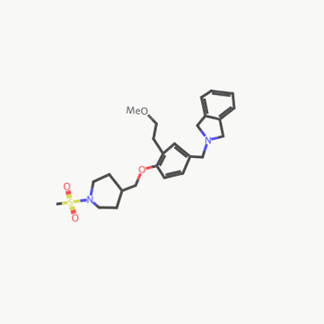 COCCc1cc(CN2Cc3ccccc3C2)ccc1OCC1CCN(S(C)(=O)=O)CC1